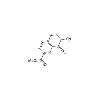 COC(=O)c1ccc2c(c1)C(=O)C(C#N)CC2